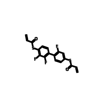 C=CC(=O)Sc1ccc(-c2ccc(SC(=O)C=C)c(F)c2F)c(F)c1